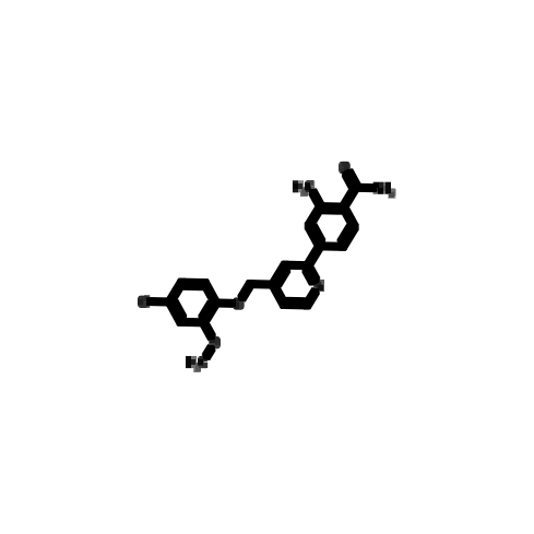 COc1cc(Cl)ccc1OCc1ccnc(-c2ccc(C(N)=O)c(C)c2)c1